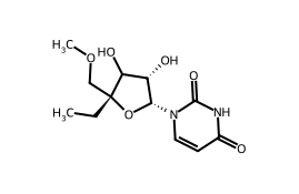 CC[C@]1(COC)O[C@@H](n2ccc(=O)[nH]c2=O)[C@@H](O)C1O